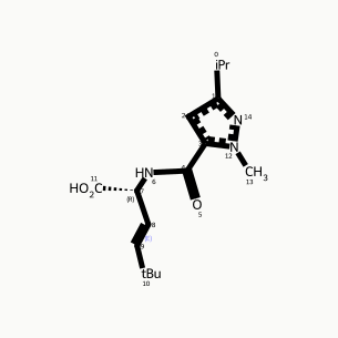 CC(C)c1cc(C(=O)N[C@H](/C=C/C(C)(C)C)C(=O)O)n(C)n1